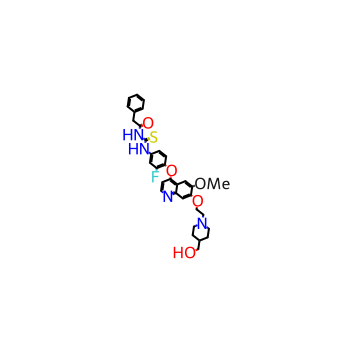 COc1cc2c(Oc3ccc(NC(=S)NC(=O)Cc4ccccc4)cc3F)ccnc2cc1OCCN1CCC(CO)CC1